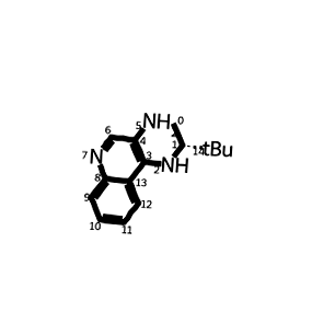 C[C@@H](Nc1c(N)cnc2ccccc12)C(C)(C)C